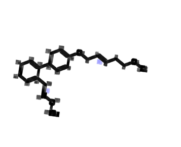 CCOCC/C=C/COc1ccc(-c2ccccc2/C=N/OC(C)(C)C)cc1